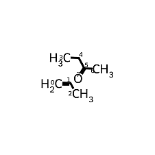 C=CC.CCC(C)=O